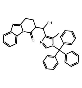 Cc1c(C(O)C2CCc3cc4ccccc4n3C2=O)ncn1C(c1ccccc1)(c1ccccc1)c1ccccc1